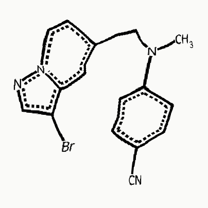 CN(Cc1ccn2ncc(Br)c2c1)c1ccc(C#N)cc1